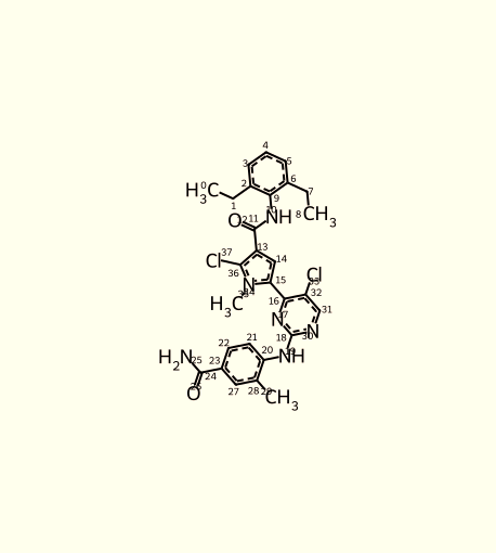 CCc1cccc(CC)c1NC(=O)c1cc(-c2nc(Nc3ccc(C(N)=O)cc3C)ncc2Cl)n(C)c1Cl